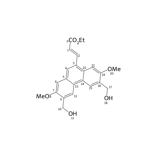 CCOC(=O)/C=C/c1cc2cc(OC)c(CO)cc2c2cc(CO)c(OC)cc12